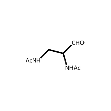 CC(=O)NCC([C]=O)NC(C)=O